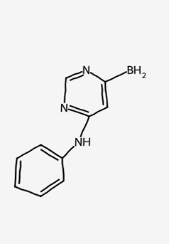 Bc1cc(Nc2ccccc2)ncn1